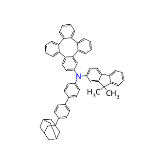 CC1(C)c2ccccc2-c2ccc(N(c3ccc(-c4ccc(C56CC7CC(CC(C7)C5)C6)cc4)cc3)c3ccc4c(c3)-c3ccccc3-c3ccccc3-c3ccccc3-4)cc21